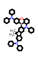 CC1(C)c2cc(N(c3ccccc3)c3ccccc3)ccc2-c2cc3c(cc21)B1c2ccc(N(c4ccccc4)c4ccccc4)cc2Oc2cccc(c21)N3c1ccccc1